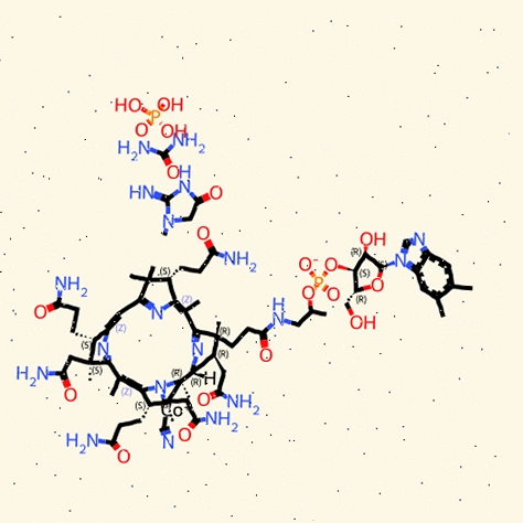 C/C1=C2N=C(/C=C3N=C(/C(C)=C4/[C@@H](CCC(N)=O)[C@](C)(CC(N)=O)[C@](C)([C@@H]5N=C1[C@](C)(CCC(=O)NCC(C)OP(=O)([O-])O[C@H]1[C@@H](O)[C@@H](n6cnc7cc(C)c(C)cc76)O[C@@H]1CO)[C@H]5CC(N)=O)[N]4[Co+][C]#N)[C@@](C)(CC(N)=O)[C@@H]\3CCC(N)=O)C(C)(C)[C@@H]/2CCC(N)=O.CN1CC(=O)NC1=N.NC(N)=O.O=P(O)(O)O